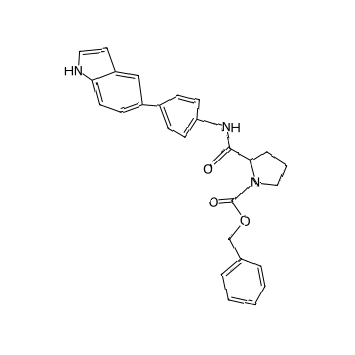 O=C(Nc1ccc(-c2ccc3[nH]ccc3c2)cc1)C1CCCN1C(=O)OCc1ccccc1